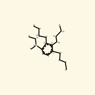 CCCCc1ccc(P(C)CC)c(CCCC)c1CCCC